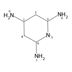 NC1CC(N)[N]C(N)C1